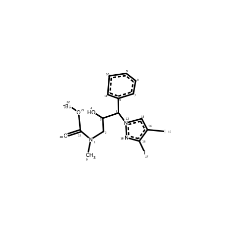 CN(CC(O)C(c1ccccc1)n1cc(I)c(I)n1)C(=O)OC(C)(C)C